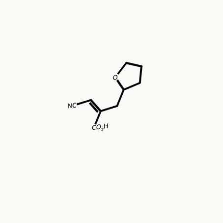 N#CC=C(CC1CCCO1)C(=O)O